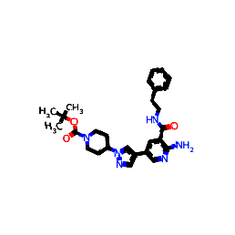 CC(C)(C)OC(=O)N1CCC(n2cc(-c3cnc(N)c(C(=O)NCCc4ccccc4)c3)cn2)CC1